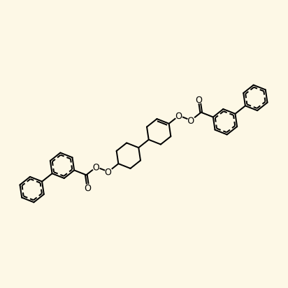 O=C(OOC1=CCC(C2CCC(OOC(=O)c3cccc(-c4ccccc4)c3)CC2)CC1)c1cccc(-c2ccccc2)c1